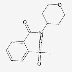 CS(=O)(=O)c1ccccc1C(=O)NC1CCOCC1